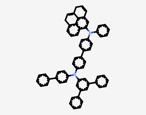 C1=Cc2cc(N(c3ccccc3)c3ccc(-c4ccc(N(c5ccc(-c6ccccc6)cc5)c5cc(-c6ccccc6)cc(-c6ccccc6)c5)cc4)cc3)c3cccc4c3c2C(=CC4)C1